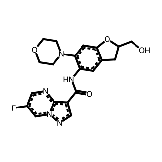 O=C(Nc1cc2c(cc1N1CCOCC1)OC(CO)C2)c1cnn2cc(F)cnc12